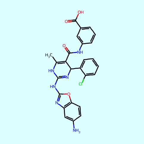 CC1=C(C(=O)Nc2cccc(C(=O)O)c2)C(c2ccccc2Cl)N=C(Nc2nc3cc(N)ccc3o2)N1